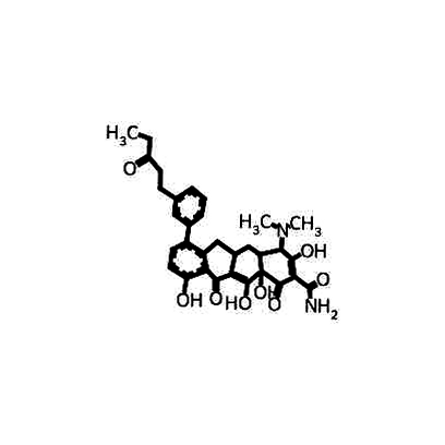 CCC(=O)CCc1cccc(-c2ccc(O)c3c2CC2CC4C(N(C)C)C(O)=C(C(N)=O)C(=O)C4(O)C(O)=C2C3=O)c1